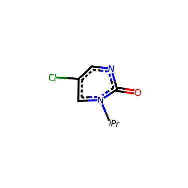 CC(C)n1cc(Cl)cnc1=O